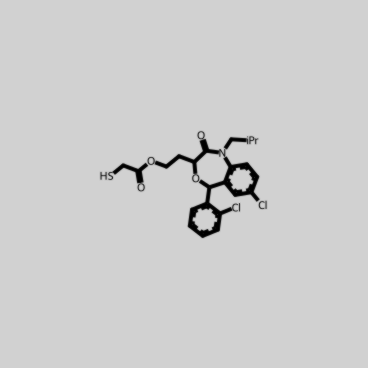 CC(C)CN1C(=O)C(CCOC(=O)CS)OC(c2ccccc2Cl)c2cc(Cl)ccc21